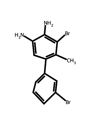 Cc1c(-c2cccc(Br)c2)cc(N)c(N)c1Br